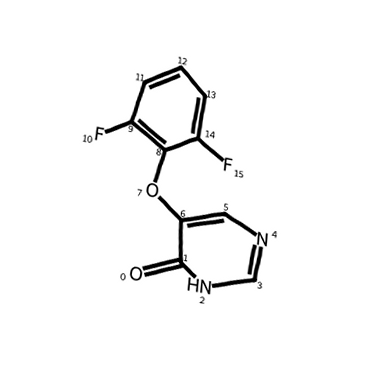 O=c1[nH]cncc1Oc1c(F)cccc1F